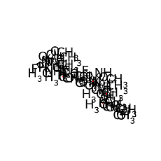 CNCCn1c([C@@]23CC[C@]4(C)[C@H](CC[C@@H]5[C@@]6(C)CC[C@H](OC(=O)CC(C)(C)C(=O)Oc7cc(-n8c(=O)c(Cl)c([C@@]9%10CC[C@]%11(C)[C@H](CC[C@@H]%12[C@@]%13(C)CC[C@H](OC(=O)CC(C)(C)C(=O)O)C(C)(C)[C@@H]%13CC[C@]%12%11C)C9=C(C(C)C)C(=O)C%10)n8CCN)ccc7F)C(C)(C)[C@@H]6CC[C@]54C)C2=C(C(C)C)C(=O)C3)c(Cl)c(=O)n1-c1ccc(F)cc1